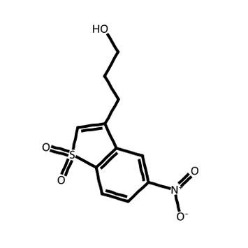 O=[N+]([O-])c1ccc2c(c1)C(CCCO)=CS2(=O)=O